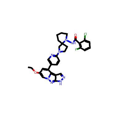 CCOc1cc(-c2ccc(N3CCC4(CCCCN4NC(=O)c4c(F)cccc4Cl)C3)nc2)c2c3cn[nH]c3nn2c1